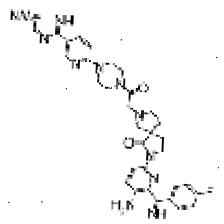 CN/C=N\C(=N)c1ccc(N2CCN(C(=O)CN3CC[C@]4(CCN(c5ccc(N)c(C(=N)c6ccc(F)cc6)n5)C4=O)C3)CC2)nc1